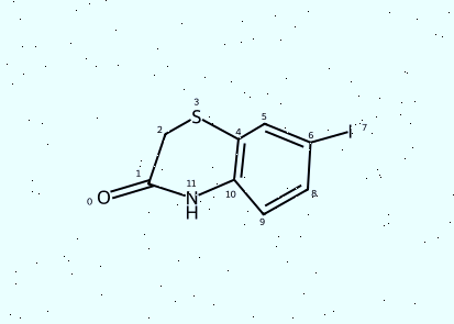 O=C1CSc2cc(I)ccc2N1